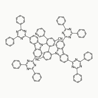 N#Cc1ccc(-n2c3ccc(-c4nc(-c5ccccc5)nc(-c5ccccc5)n4)cc3c3cc(-c4nc(-c5ccccc5)nc(-c5ccccc5)n4)ccc32)c(-c2cc(C#N)cc(-c3cccnc3)c2-n2c3ccc(-c4nc(-c5ccccc5)nc(-c5ccccc5)n4)cc3c3cc(-c4nc(-c5ccccc5)nc(-c5ccccc5)n4)ccc32)c1